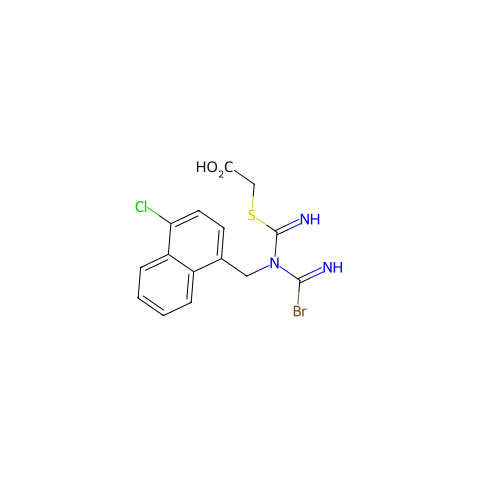 N=C(Br)N(Cc1ccc(Cl)c2ccccc12)C(=N)SCC(=O)O